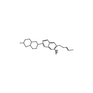 CC=CCCc1cc2ccc(C3CCC4CC(C)CCC4C3)cc2cc1F